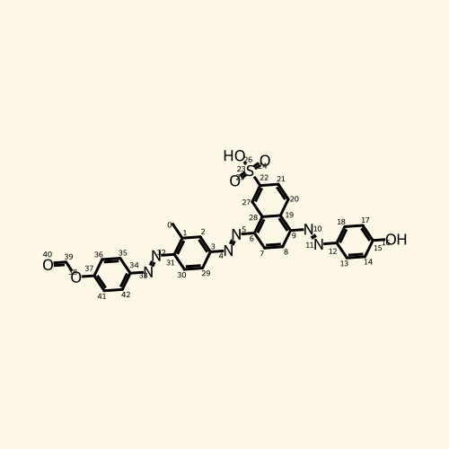 Cc1cc(N=Nc2ccc(N=Nc3ccc(O)cc3)c3ccc(S(=O)(=O)O)cc23)ccc1N=Nc1ccc(OC=O)cc1